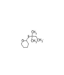 [CH2]CC(C)(C)SC1CCCCO1